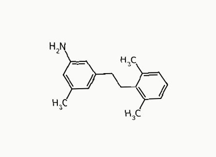 Cc1cc(N)cc(CCc2c(C)cccc2C)c1